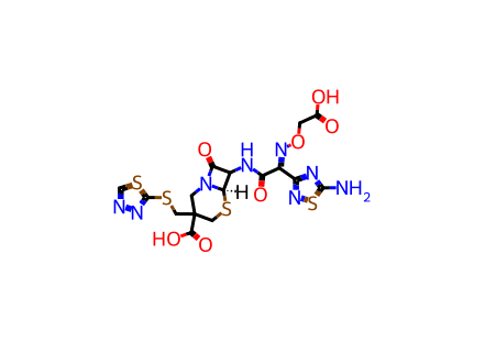 Nc1nc(C(=NOCC(=O)O)C(=O)NC2C(=O)N3CC(CSc4nncs4)(C(=O)O)CS[C@H]23)ns1